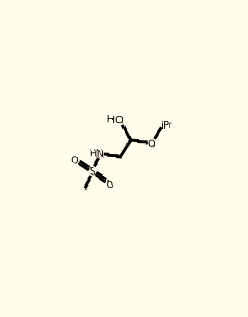 CC(C)OC(O)CNS(C)(=O)=O